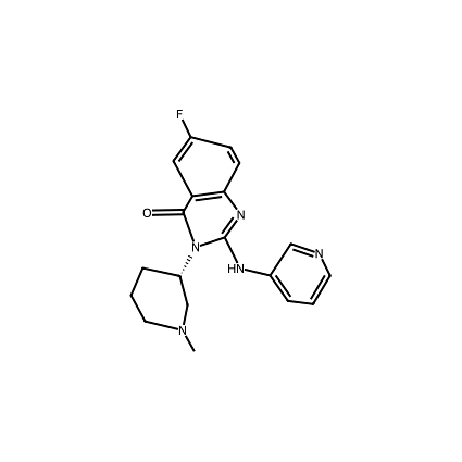 CN1CCC[C@H](n2c(Nc3cccnc3)nc3ccc(F)cc3c2=O)C1